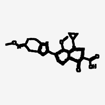 CON=C1CCc2sc(-c3ccc4c(=O)c(C(=O)O)cn(C5CC5)c4c3OC)cc2C1